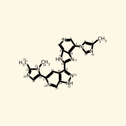 Cc1cn(-c2cncc3[nH]c(-c4n[nH]c5cnc(-c6cnc(C)n6C)cc45)nc23)cn1